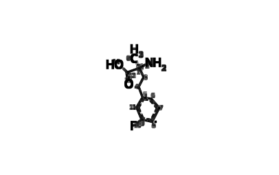 C[C@](N)(CCc1cc[c]c(F)c1)C(=O)O